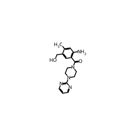 Cc1cc(N)c(C(=O)N2CCN(c3ncccn3)CC2)cc1CO